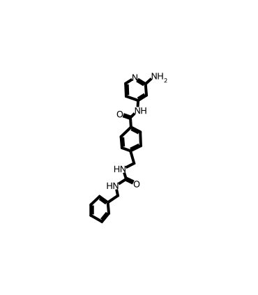 Nc1cc(NC(=O)c2ccc(CNC(=O)NCc3ccccc3)cc2)ccn1